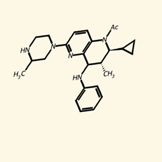 CC(=O)N1c2ccc(N3CCNC(C)C3)nc2C(Nc2ccccc2)[C@@H](C)[C@@H]1C1CC1